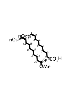 CCCCCCCC/C=C\CCCCCCCC(=O)O.CCCCCCCC/C=C\CCCCCCCC(=O)OC